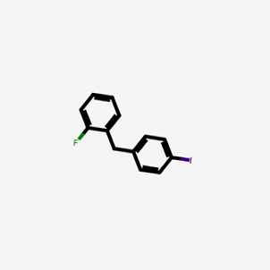 Fc1ccccc1Cc1ccc(I)cc1